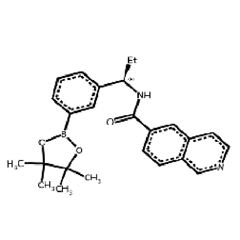 CC[C@@H](NC(=O)c1ccc2cnccc2c1)c1cccc(B2OC(C)(C)C(C)(C)O2)c1